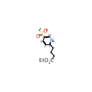 CCOC(=O)CCCc1ccc(S(C)(=O)=O)cn1